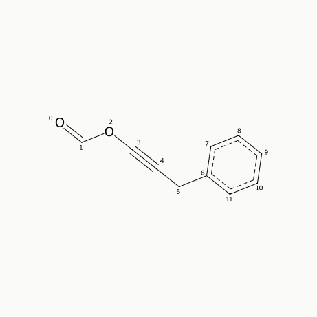 O=COC#CCc1ccccc1